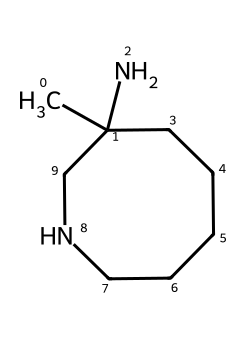 CC1(N)CCCCCNC1